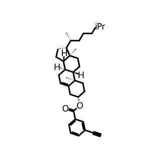 C#Cc1cccc(C(=O)O[C@H]2CC[C@@]3(C)C(=CC[C@H]4[C@@H]5CC[C@H]([C@H](C)CCCC(C)C)[C@@]5(C)CC[C@@H]43)C2)c1